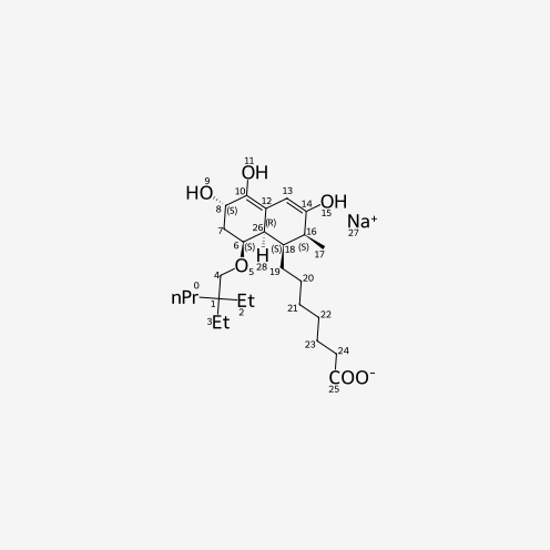 CCCC(CC)(CC)CO[C@H]1C[C@H](O)C(O)=C2C=C(O)[C@@H](C)[C@@H](CCCCCCC(=O)[O-])[C@H]21.[Na+]